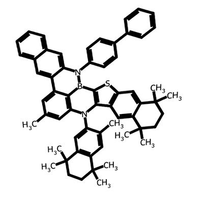 Cc1cc2c3c(c1)N(c1cc4c(cc1C)C(C)(C)CCC4(C)C)c1c(sc4cc5c(cc14)C(C)(C)CCC5(C)C)B3N(c1ccc(-c3ccccc3)cc1)c1cc3ccccc3cc1-2